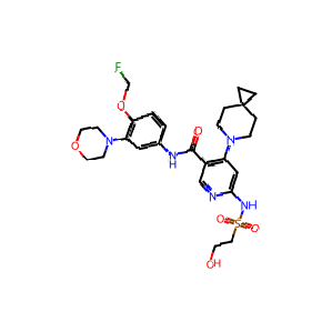 O=C(Nc1ccc(OCF)c(N2CCOCC2)c1)c1cnc(NS(=O)(=O)CCO)cc1N1CCC2(CC1)CC2